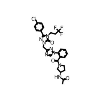 CC(=O)N[C@@H]1CCN(C(=O)c2ccccc2-n2cnc(Cn3nc(-c4ccc(Cl)cc4)n(CCC(F)(F)F)c3=O)n2)C1